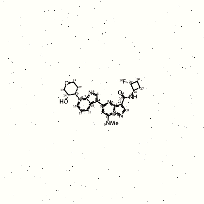 CNc1cc(-c2cnc3n([C@@H]4CCOC[C@H]4O)cccc2-3)nc2c(C(=O)N[C@@H]3CC[C@H]3F)cnn12